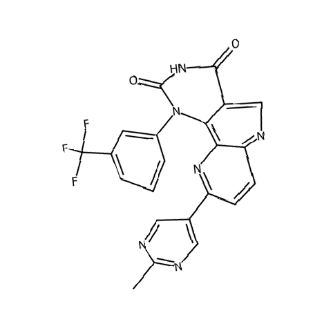 Cc1ncc(-c2ccc3ncc4c(=O)[nH]c(=O)n(-c5cccc(C(F)(F)F)c5)c4c3n2)cn1